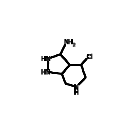 NC1NNC2CNCC(Cl)C12